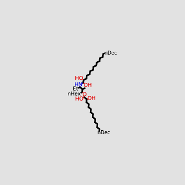 CCCCCCCCCCCCCCCCCCCCCCC(O)C(O)NC(CC)C(C)C(CCCCCC)OC(O)C(O)CCCCCCCCCCCCCCCCCCCCCC